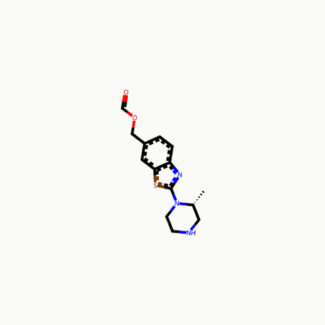 C[C@@H]1CNCCN1c1nc2ccc(COC=O)cc2s1